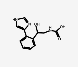 O=C(O)NCC(O)c1ccccc1-c1c[nH]cn1